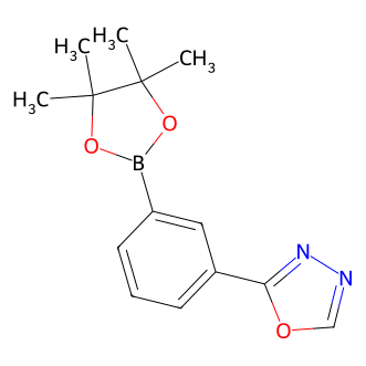 CC1(C)OB(c2cccc(-c3nnco3)c2)OC1(C)C